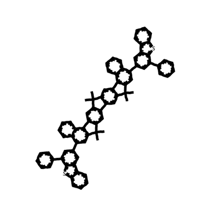 CC1(C)c2cc3c(cc2-c2cc4c(cc21)-c1c(cc(-c2cc(-c5ccccc5)c5sc6ccccc6c5c2)c2ccccc12)C4(C)C)C(C)(C)c1cc(-c2cc(-c4ccccc4)c4sc5ccccc5c4c2)c2ccccc2c1-3